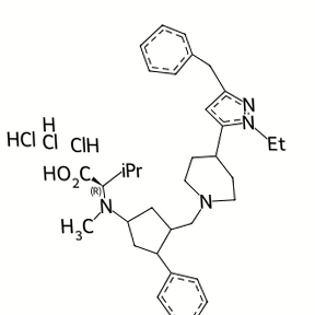 CCn1nc(Cc2ccccc2)cc1C1CCN(CC2CC(N(C)[C@@H](C(=O)O)C(C)C)CC2c2ccccc2)CC1.Cl.Cl.Cl